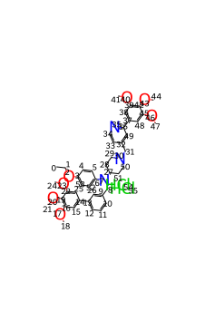 CCOc1ccc(N(Cc2cccc(-c3cc(OC)c(OC)c(OC)c3)c2)C2CCN(Cc3ccnc(-c4cc(OC)c(OC)c(OC)c4)c3)CC2)cc1.Cl.Cl